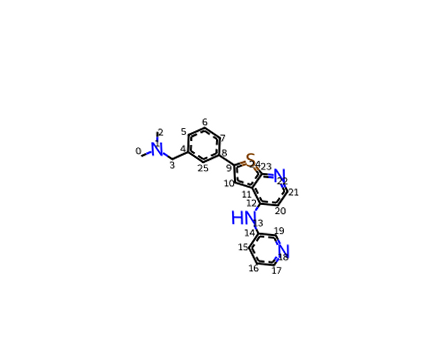 CN(C)Cc1cccc(-c2cc3c(Nc4cccnc4)ccnc3s2)c1